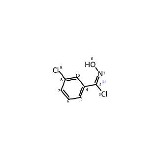 O/N=C(/Cl)c1cccc(Cl)c1